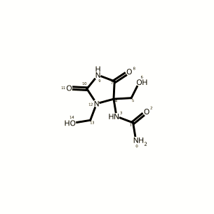 NC(=O)NC1(CO)C(=O)NC(=O)N1CO